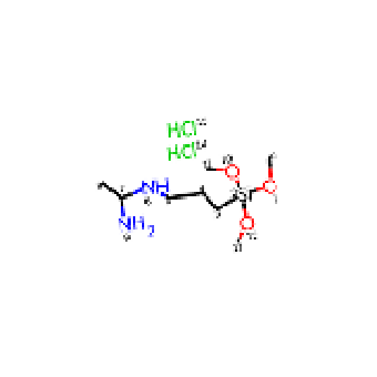 CO[Si](CCCNC(C)N)(OC)OC.Cl.Cl